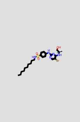 CCCCCCCCCCNS(=O)(=O)c1ccc(Nc2ncc(Br)c(N[C@H](C)CO)n2)cc1